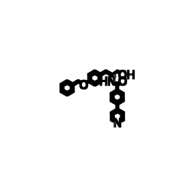 O=C(N[C@H](CO)Cc1ccc(OCc2ccccc2)cc1)c1ccc(-c2ccncc2)cc1